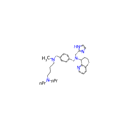 CCCN(CCC)CCCCN(C)Cc1ccc(CN(Cc2ncc[nH]2)C2CCCc3cccnc32)cc1